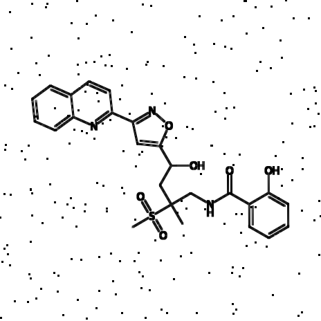 CC(CNC(=O)c1ccccc1O)(CC(O)c1cc(-c2ccc3ccccc3n2)no1)S(C)(=O)=O